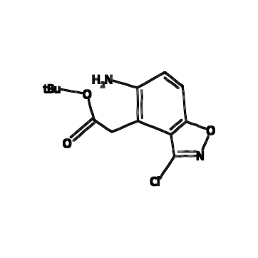 CC(C)(C)OC(=O)Cc1c(N)ccc2onc(Cl)c12